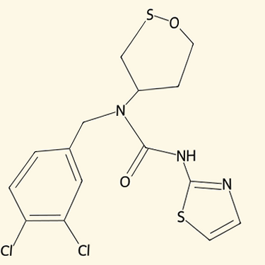 O=C(Nc1nccs1)N(Cc1ccc(Cl)c(Cl)c1)C1CCOSC1